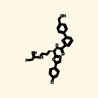 N=C(CF)NCCC[C@H](NC(=O)c1cccc(-c2ccc(CO)cc2)c1)c1ncc(-c2ccc(Cl)cc2)o1